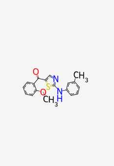 COc1ccccc1C(=O)c1cnc(Nc2cccc(C)c2)s1